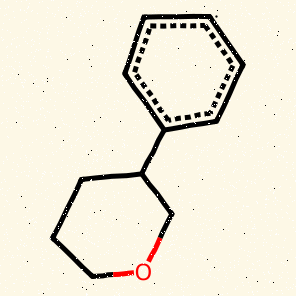 [c]1ccc(C2CCCOC2)cc1